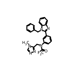 Cn1cnnc1CN(C(=O)C(F)(F)F)c1cccc(-c2nc3ccccc3n2Cc2ccccc2)c1